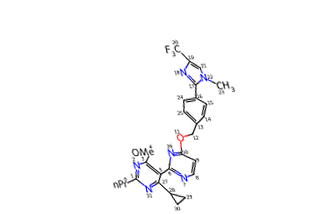 CCCc1nc(OC)c(-c2nccc(OCc3ccc(-c4nc(C(F)(F)F)cn4C)cc3)n2)c(C2CC2)n1